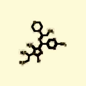 C=c1/c(=C(\N=C(/CC)N2CCOCC2)c2cnc(N)nc2)nc(Br)n1C(C)CC